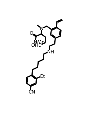 C=Cc1ccc(CCNCCCCCc2ccc(C#N)cc2CC)cc1CN(C)C(CCC=O)C(=O)NC